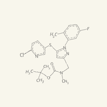 Cc1ccc(F)cc1-n1nc(CN(C)C(=O)OC(C)(C)C)cc1Sc1ccc(Cl)nc1